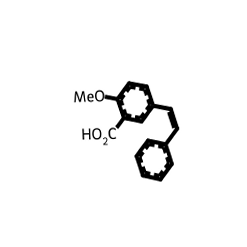 COc1ccc(/C=C\c2ccccc2)cc1C(=O)O